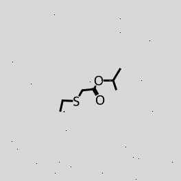 [CH2]CSCC(=O)OC(C)C